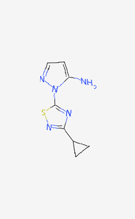 Nc1ccnn1-c1nc(C2CC2)ns1